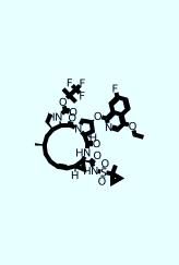 CCOc1cnc(O[C@@H]2C[C@H]3C(=O)N[C@]4(C(=O)NS(=O)(=O)C5(C)CC5)C[C@H]4/C=C\CC[C@@H](C)C[C@@H](CC)[C@H](NC(=O)OC(C)(C)C(F)(F)F)C(=O)N3C2)c2cc(F)ccc12